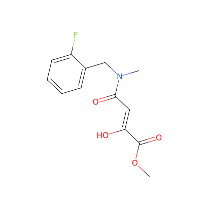 COC(=O)C(O)=CC(=O)N(C)Cc1ccccc1F